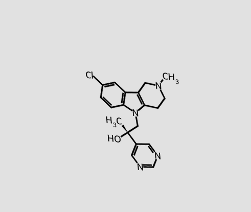 CN1CCc2c(c3cc(Cl)ccc3n2C[C@@](C)(O)c2cncnc2)C1